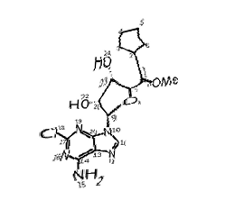 COC(C1CCCC1)[C@H]1O[C@@H](n2cnc3c(N)nc(Cl)nc32)[C@H](O)[C@@H]1O